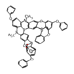 CN1c2cc3c(cc2B2c4cc5c(cc4N(C)c4cc(Oc6ccccc6)cc1c42)Oc1cc(Oc2ccccc2)cc2c1B5c1ccccc1O2)B1c2ccccc2Oc2cc(Oc4ccccc4)cc(c21)O3